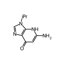 CC(C)n1cnc2c(=O)cc(N)[nH]c21